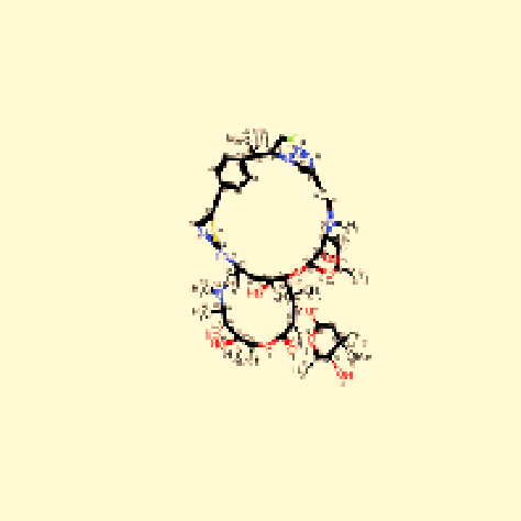 CC[C@H]1OC(=O)[C@H](C)[C@@H](O[C@H]2C[C@@](C)(OC)[C@@H](O)[C@H](C)O2)[C@H](C)[C@H]2O[C@@H]3O[C@H](C)C[C@@H]([C@H]3O)N(C)CCc3cn(nn3)[C@H](CF)[C@H](OC)c3ccc(cc3)-c3cnc(s3)N[C@@H](CN(C)[C@H](C)[C@@H](O)[C@]1(C)O)C[C@@]2(C)O